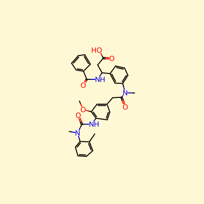 COc1cc(CC(=O)N(C)c2cccc(C(CC(=O)O)NC(=O)c3ccccc3)c2)ccc1NC(=O)N(C)c1ccccc1C